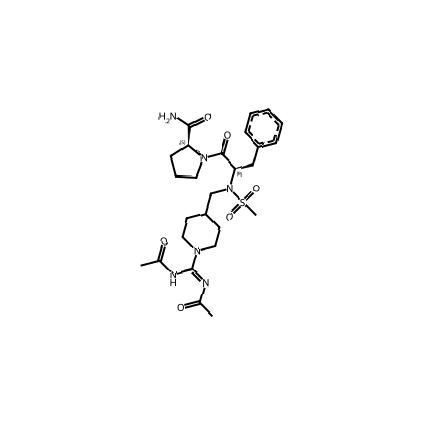 CC(=O)N=C(NC(C)=O)N1CCC(CN([C@H](Cc2ccccc2)C(=O)N2CCC[C@H]2C(N)=O)S(C)(=O)=O)CC1